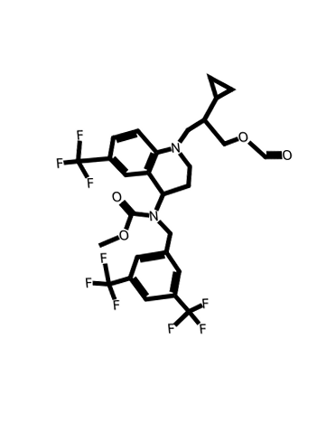 COC(=O)N(Cc1cc(C(F)(F)F)cc(C(F)(F)F)c1)C1CCN(CC(COC=O)C2CC2)c2ccc(C(F)(F)F)cc21